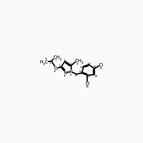 Cc1cc(OC(C)C)nn1Cc1ccc(Cl)cc1Cl